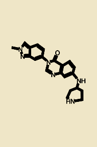 Cn1cc2ccc(-n3cnc4cc(NC5CCNCC5)ccc4c3=O)cc2n1